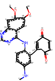 CNc1ccc(Nc2ncnc3cc(OC)c(OC)cc23)c(C2=CC(=O)C=CC2=O)c1